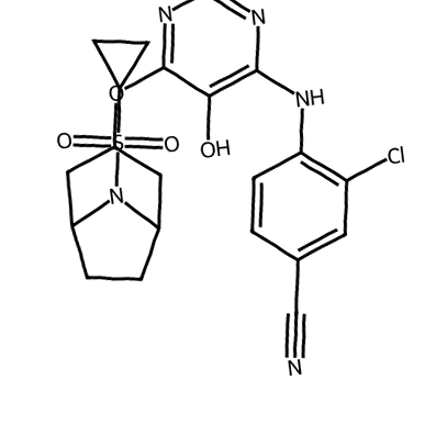 N#Cc1ccc(Nc2ncnc(OC3CC4CCC(C3)N4S(=O)(=O)C3CC3)c2O)c(Cl)c1